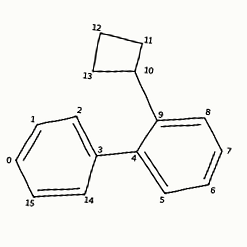 c1ccc(-c2ccccc2C2CCC2)cc1